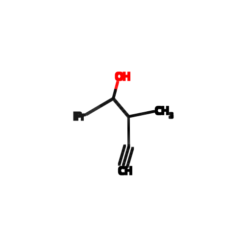 C#CC(C)C(O)C(C)C